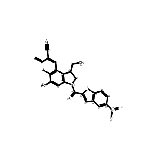 C=C/C(C#N)=C\c1c(C)c(O)cc2c1C(CO)CN2C(=O)c1cc2cc([N+](=O)[O-])ccc2o1